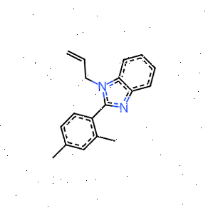 C=CCn1c(-c2ccc(C)cc2C)nc2ccccc21